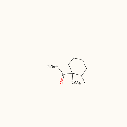 CCCCCC(=O)C1(OC)CCCCC1C